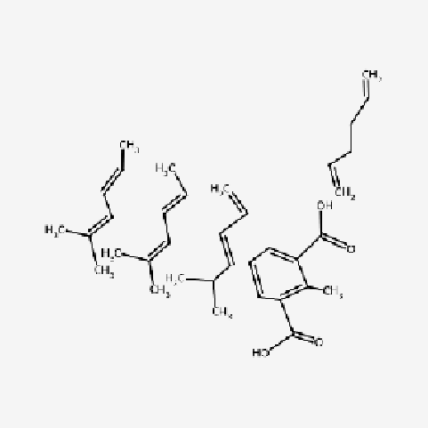 C=CC=CC(C)C.C=CCCC=C.CC=CC=C(C)C.CC=CC=C(C)C.Cc1c(C(=O)O)cccc1C(=O)O